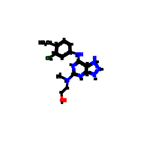 CC(C)N(CCO)c1nc(Nc2ccc(C(=O)O)c(Cl)c2)c2[nH]nnc2n1